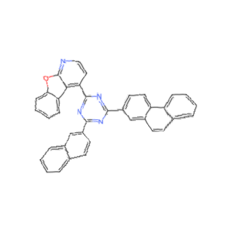 c1ccc2cc(-c3nc(-c4ccc5c(ccc6ccccc65)c4)nc(-c4ccnc5oc6ccccc6c45)n3)ccc2c1